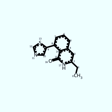 CCc1cc2cccc(-c3cncs3)c2c(=O)[nH]1